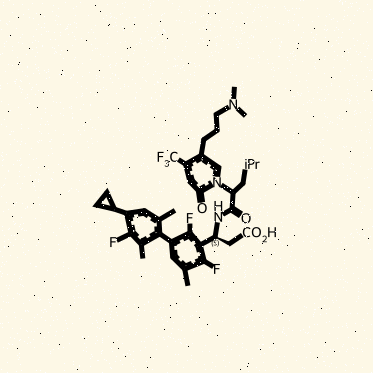 Cc1cc(-c2c(C)cc(C3CC3)c(F)c2C)c(F)c([C@H](CC(=O)O)NC(=O)C(CC(C)C)n2cc(CCCN(C)C)c(C(F)(F)F)cc2=O)c1F